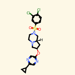 O=S(=O)(c1ccc(Cl)c(Cl)c1)N1CCN2C[C@H](Oc3cnc(C4CC4)cn3)C[C@H]2C1